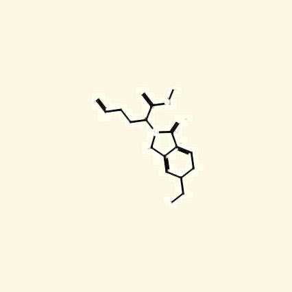 C=CCCC(C(=C)NC)N1CC2=CC(CC)CC=C2C1=O